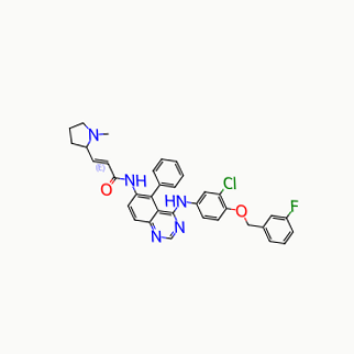 CN1CCCC1/C=C/C(=O)Nc1ccc2ncnc(Nc3ccc(OCc4cccc(F)c4)c(Cl)c3)c2c1-c1ccccc1